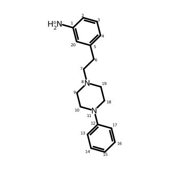 Nc1cccc(CCN2CCN(c3ccccc3)CC2)c1